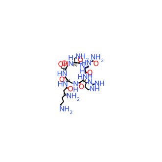 N=C1NCCC([C@@H]2NC(=O)/C(=C/NC(N)=O)NC(=O)[C@H](CN)NC(=O)[C@H](CO)NC(=O)[C@@H](NC(=O)C[C@@H](N)CCCN)CNC2=O)N1